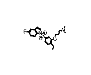 CCc1ccc(S(=O)(=O)n2ccc3cc(F)ccc32)cc1OCCCN(C)C